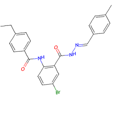 CCc1ccc(C(=O)Nc2ccc(Br)cc2C(=O)NN=Cc2ccc(C)cc2)cc1